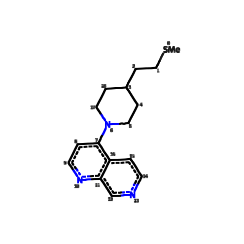 CSCCC1CCN(c2ccnc3cnccc23)CC1